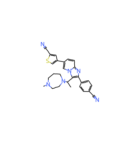 CC(c1c(-c2ccc(C#N)cc2)nc2ccc(-c3csc(C#N)c3)cn12)N1CCCN(C)CC1